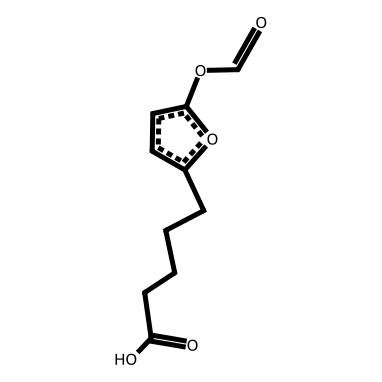 O=COc1ccc(CCCCC(=O)O)o1